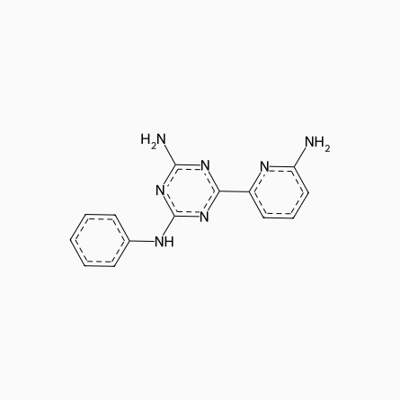 Nc1cccc(-c2nc(N)nc(Nc3ccccc3)n2)n1